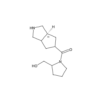 O=C(C1CC2CNC[C@H]2C1)N1CCCC1CO